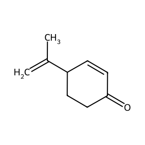 C=C(C)C1C=CC(=O)CC1